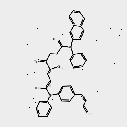 C=C/C=C\c1ccc(N(/C(C)=C/C=C(\C)C(=C)CCC(=C)N(c2ccccc2)c2ccc3ccccc3c2)c2ccccc2)cc1